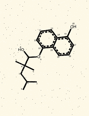 CC(C)CC(C)(C)C(O)Oc1cccc2c(O)cccc12